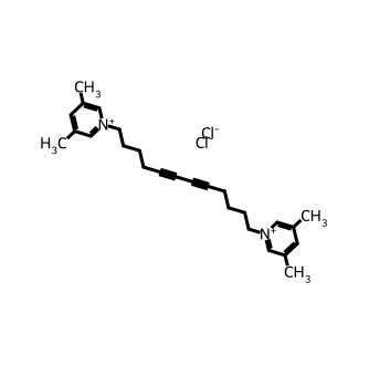 Cc1cc(C)c[n+](CCCCC#CC#CCCCC[n+]2cc(C)cc(C)c2)c1.[Cl-].[Cl-]